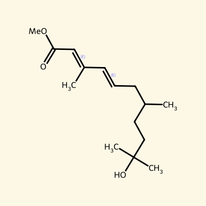 COC(=O)/C=C(C)/C=C/CC(C)CCC(C)(C)O